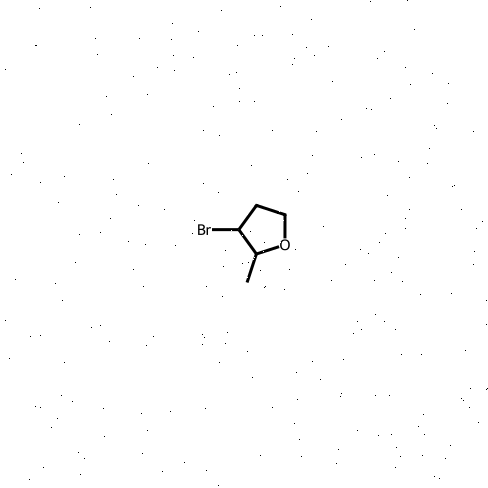 CC1OCCC1Br